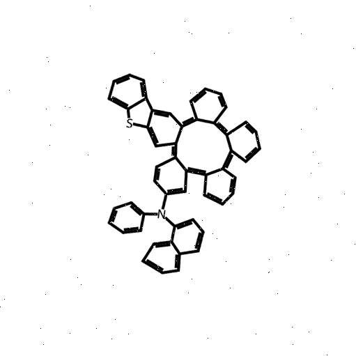 c1ccc(N(c2ccc3c(c2)c2ccccc2c2ccccc2c2ccccc2c2cc4c(cc32)sc2ccccc24)c2cccc3ccccc23)cc1